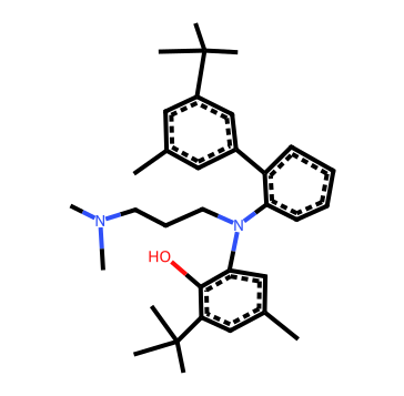 Cc1cc(-c2ccccc2N(CCCN(C)C)c2cc(C)cc(C(C)(C)C)c2O)cc(C(C)(C)C)c1